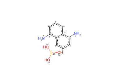 Nc1cccc2c(N)cccc12.OP(O)O